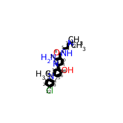 CN(C)CCCNC(=O)c1ccc(-c2cc(N(C)c3ccc(Cl)cc3)ccc2O)nc1N